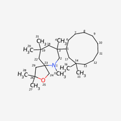 CN1CC(C)(C2CCCCCCCCC(C)(C)C2)CC(C)(C)CC12COC(C)(C)C2